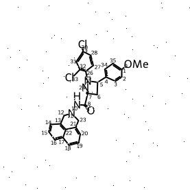 COc1ccc(C2CC(C(=O)NN3Cc4cccc5cccc(c45)C3)=NN2c2ccc(Cl)cc2Cl)cc1